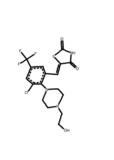 O=C1NC(=O)/C(=C/c2cc(C(F)(F)F)cc(Cl)c2N2CCN(CCO)CC2)S1